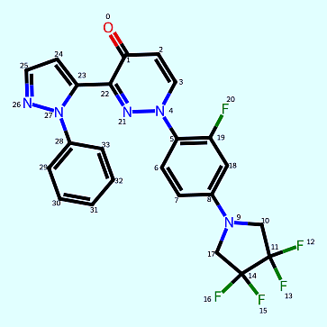 O=c1ccn(-c2ccc(N3CC(F)(F)C(F)(F)C3)cc2F)nc1-c1ccnn1-c1ccccc1